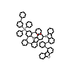 c1ccc(-c2cccc([Si](c3ccccc3)(c3ccccc3)c3cc(-c4ccccc4)c4c(c3)-c3ccccc3-c3cccc5c6cc(-n7c8ccccc8c8cccc(-c9ccccc9-c9cccc%10oc%11ccccc%11c9%10)c87)ccc6n-4c35)c2)cc1